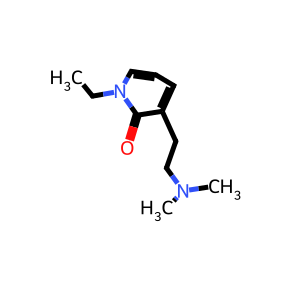 CCn1cccc(CCN(C)C)c1=O